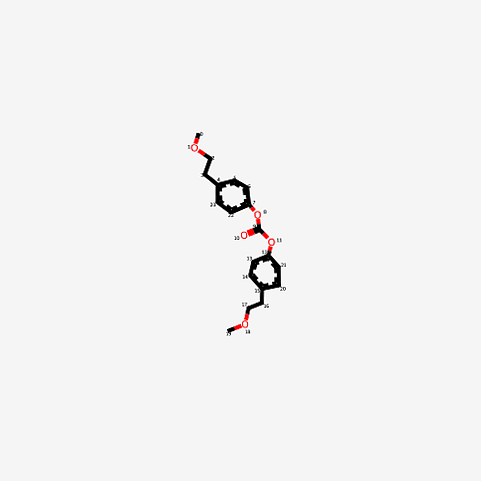 COCCc1ccc(OC(=O)Oc2ccc(CCOC)cc2)cc1